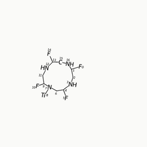 FC1CNC(F)C[N]([Ti])C(F)CNC(F)CN1